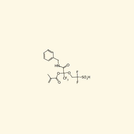 C=C(C)C(=O)OC(OCC(F)(F)S(=O)(=O)O)(C(=O)NCc1ccccc1)C(F)(F)F